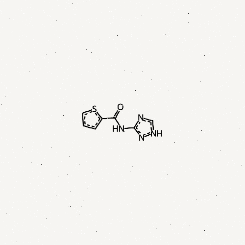 O=C(Nc1nc[nH]n1)c1cccs1